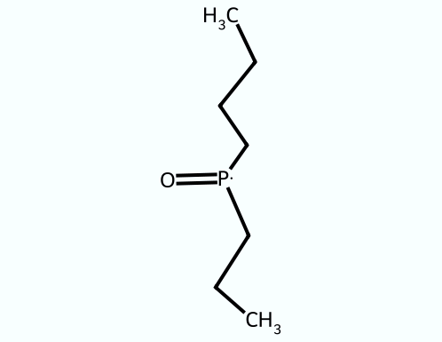 CCCC[P](=O)CCC